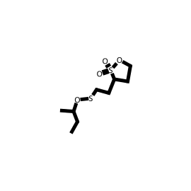 CCC(C)OSCCC1CCOS1(=O)=O